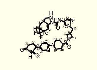 C[C@@]12C=C3C(CNN3C(=O)Nc3cnn(CC4CN(C(=O)C5CCN(c6ccc(C7CCC(=O)NC7=O)cn6)CC5)C4)c3)C[C@@H]1C2(F)F